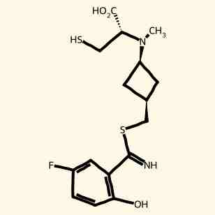 CN([C@H]1C[C@@H](CSC(=N)c2cc(F)ccc2O)C1)[C@H](CS)C(=O)O